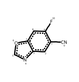 N#Cc1cc2ncoc2cc1F